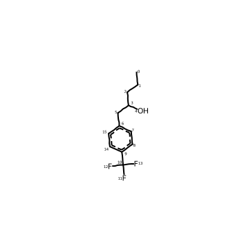 CCCC(O)Cc1ccc(C(F)(F)F)cc1